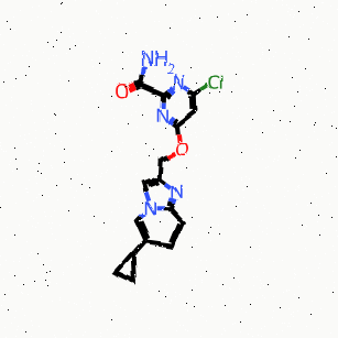 NC(=O)c1nc(Cl)cc(OCc2cn3cc(C4CC4)ccc3n2)n1